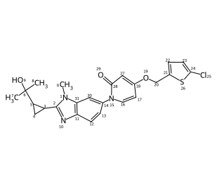 Cn1c(C2CC2C(C)(C)O)nc2ccc(-n3ccc(OCc4ccc(Cl)s4)cc3=O)cc21